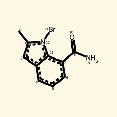 Cc1cc2cccc(C(N)=O)c2n1Br